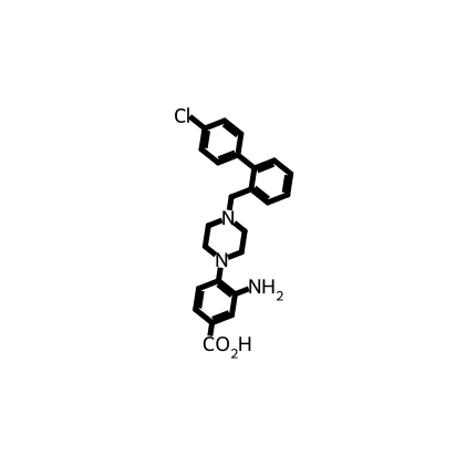 Nc1cc(C(=O)O)ccc1N1CCN(Cc2ccccc2-c2ccc(Cl)cc2)CC1